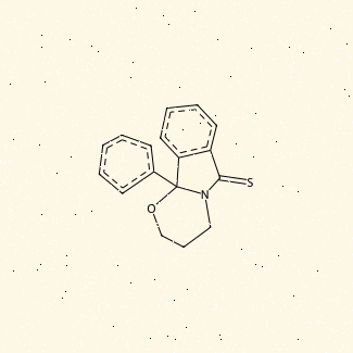 S=C1c2ccccc2C2(c3ccccc3)OCCCN12